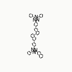 c1ccc(-c2nc(-c3ccccc3)nc(-c3ccc(-c4ccc5c(-c6cccc7cc(-c8ccc(-c9nc(-c%10ccccc%10)nc(-c%10ccc%11ccccc%11c%10)n9)cc8)ccc67)cccc5c4)cc3)n2)cc1